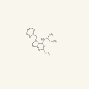 CCC[C@@H](CO)Nc1nc(C)nc2ccn(Cc3cccnn3)c12